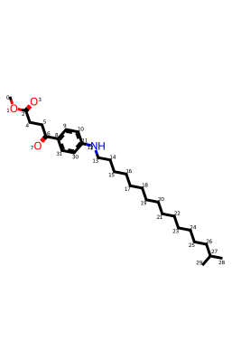 COC(=O)CCC(=O)c1ccc(NCCCCCCCCCCCCCCC(C)C)cc1